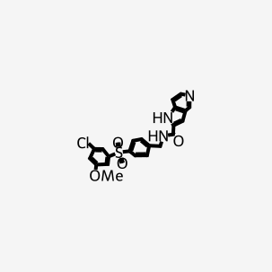 COc1cc(Cl)cc(S(=O)(=O)c2ccc(CNC(=O)c3cc4cnccc4[nH]3)cc2)c1